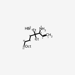 Br.C=CC(N)C(CC)(CC)CCCCCCCCCCC